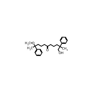 COC(C)(CCCC(=O)CCCC(C)(CO)c1ccccc1)c1ccccc1